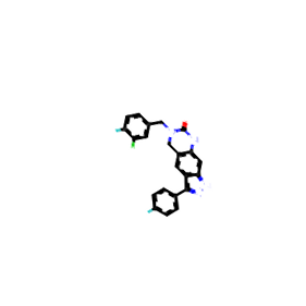 O=C1Nc2cc3[nH]nc(-c4ccc(F)cc4)c3cc2CN1Cc1ccc(F)c(Cl)c1